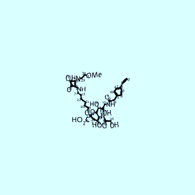 C#Cc1ccc(CC(=O)NC[C@@H](O)[C@@H](O)[C@@H]2O[C@@](OCCCCCCNc3c(NCCOC)c(=O)c3=O)(C(=O)O)C[C@H](O)[C@H]2NC(=O)CO)cc1